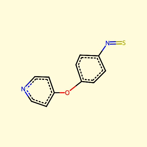 S=Nc1ccc(Oc2ccncc2)cc1